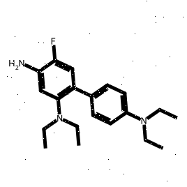 CCN(CC)c1ccc(-c2cc(F)c(N)cc2N(CC)CC)cc1